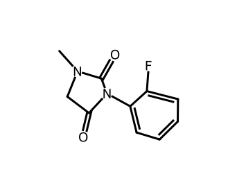 CN1CC(=O)N(c2ccccc2F)C1=O